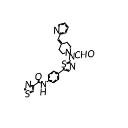 O=CN(c1ncc(-c2ccc(NC(=O)c3cscn3)cc2)s1)N1CCC(=Cc2ccccn2)CC1